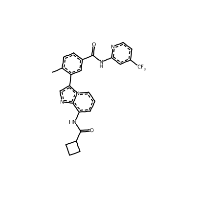 Cc1ccc(C(=O)Nc2cc(C(F)(F)F)ccn2)cc1-c1cnc2c(NC(=O)C3CCC3)cccn12